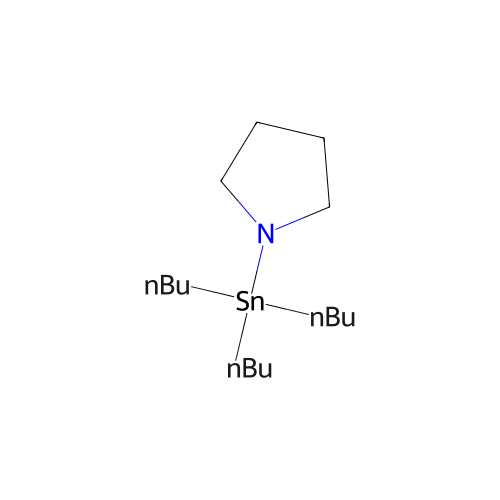 CCC[CH2][Sn]([CH2]CCC)([CH2]CCC)[N]1CCCC1